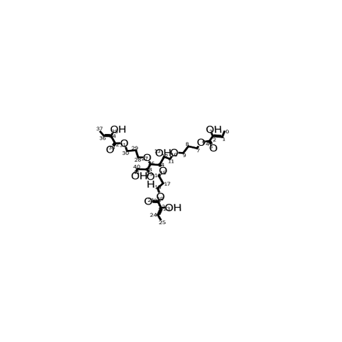 CC=C(O)C(=O)OCCCOCC(O)C(OCCCOC(=O)C(O)=CC)C(OCCCOC(=O)C(O)=CC)C(O)CO